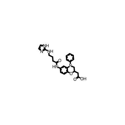 O=C(O)CC1CN(c2ccccc2)c2cc(NC(=O)CCCNc3ncc[nH]3)ccc2O1